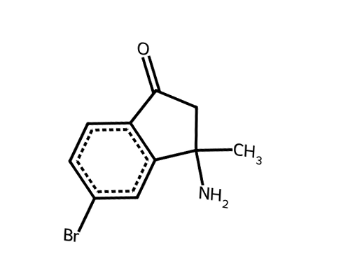 CC1(N)CC(=O)c2ccc(Br)cc21